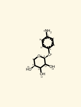 Nc1ccc(O[C@@H]2OC[C@H](O)C(O)C2O)cc1